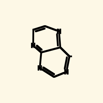 [c]1ncnc2nccnc12